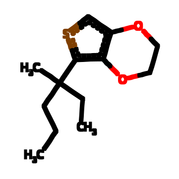 CCCC(C)(CC)c1scc2c1OCCO2